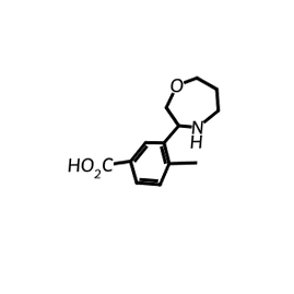 Cc1ccc(C(=O)O)cc1C1COCCCN1